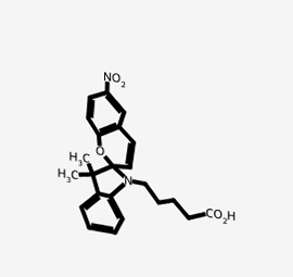 CC1(C)c2ccccc2N(CCCCC(=O)O)C12C=Cc1cc([N+](=O)[O-])ccc1O2